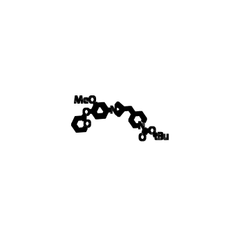 COc1cc(N2CC(CC3CCN(C(=O)OC(C)(C)C)CC3)C2)ccc1OC1CCCCO1